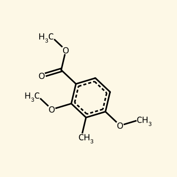 COC(=O)c1ccc(OC)c(C)c1OC